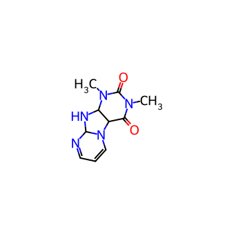 CN1C(=O)C2C(NC3N=CC=CN32)N(C)C1=O